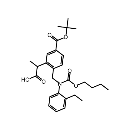 CCCCOC(=O)N(Cc1ccc(C(=O)OC(C)(C)C)cc1C(C)C(=O)O)c1ccccc1CC